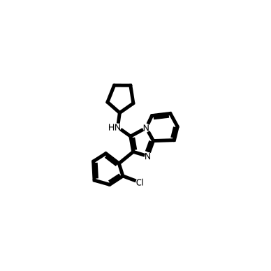 Clc1ccccc1-c1nc2ccccn2c1NC1CCCC1